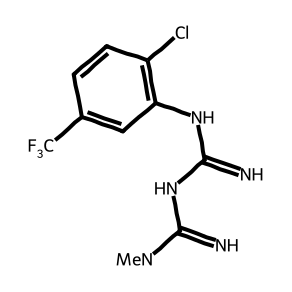 CNC(=N)NC(=N)Nc1cc(C(F)(F)F)ccc1Cl